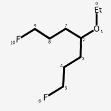 CCOC(CCCF)CCCF